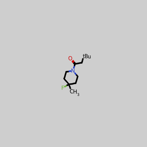 CC(C)(C)CC(=O)N1CCC(C)(F)CC1